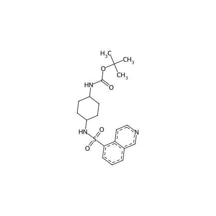 CC(C)(C)OC(=O)NC1CCC(NS(=O)(=O)c2cccc3cnccc23)CC1